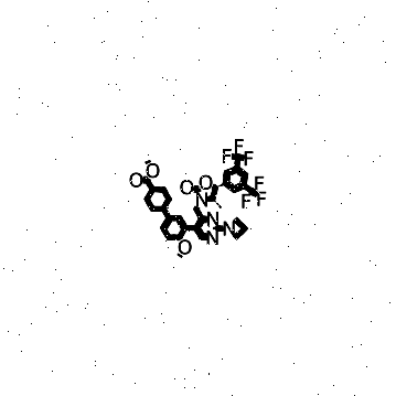 COC(=O)C1CCC(C2=CCC(OC)C(c3cnc(N4CCC4)nc3CN3C(=O)O[C@H](c4cc(C(F)(F)F)cc(C(F)(F)F)c4)[C@@H]3C)=C2)CC1